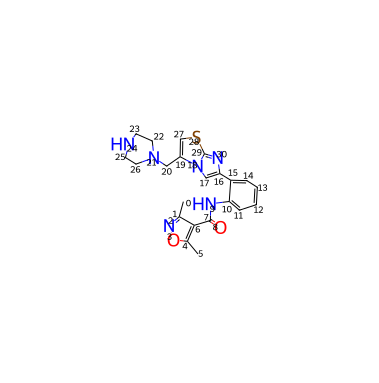 Cc1noc(C)c1C(=O)Nc1ccccc1-c1cn2c(CN3CCNCC3)csc2n1